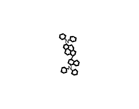 c1ccc(N(c2ccccc2)c2ccc(-c3ccc4ccc5c(N(c6ccccc6)c6ccccc6)ccc6ccc3c4c65)c3ccccc23)cc1